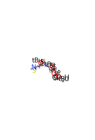 C/C(=C/C[C@H](O[Si](C)(C)C(C)(C)C)/C(C)=C/c1csc(C)n1)CCC[C@H](C)[C@H](O[Si](C)(C)C(C)(C)C)[C@@H](C)C(=O)C1([C@H](CC(=O)O)O[Si](C)(C)C(C)(C)C)CCC1